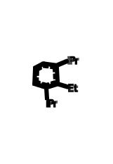 [CH2]Cc1c(C(C)C)cccc1C(C)C